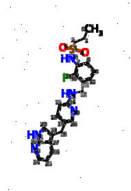 CCCS(=O)(=O)Nc1cccc(CNc2ccc(Cc3c[nH]c4ncccc34)cn2)c1F